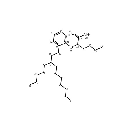 CCCCCCCC(CCCCC)CCc1ccccc1OC(CCCC)C([NH])=O